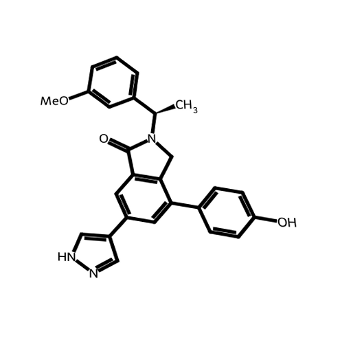 COc1cccc([C@@H](C)N2Cc3c(cc(-c4cn[nH]c4)cc3-c3ccc(O)cc3)C2=O)c1